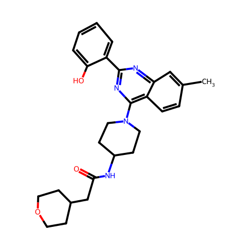 Cc1ccc2c(N3CCC(NC(=O)CC4CCOCC4)CC3)nc(-c3ccccc3O)nc2c1